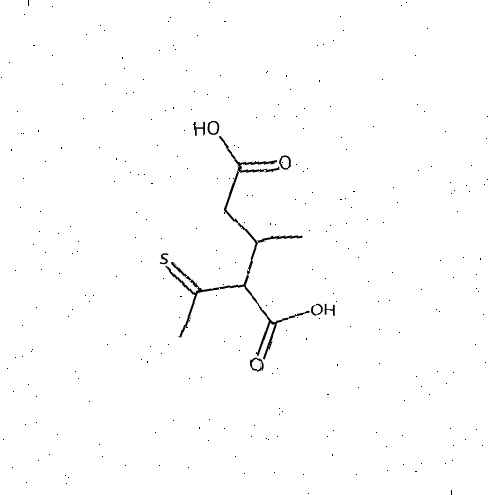 CC(=S)C(C(=O)O)C(C)CC(=O)O